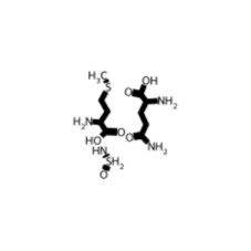 CSCCC(N)C(=O)O.N=[SH2]=O.NC(=O)CCC(N)C(=O)O